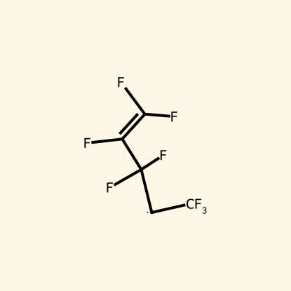 FC(F)=C(F)C(F)(F)[CH]C(F)(F)F